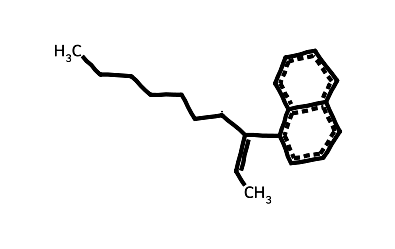 C/C=C(/[CH]CCCCCC)c1cccc2ccccc12